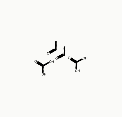 CC=O.CC=O.O=C(O)O.O=C(O)O